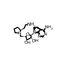 NCC[C@@H]1CCCN1C[C@H]1O[C@@H](n2ccc3c(N)ncnc32)[C@H](O)[C@@H]1O